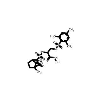 Cc1cc(C)c(S(=O)(=O)NCC(NS(=O)(=O)C2C(=O)C3(C)CCC2C3(C)C)C(=O)NO)c(C)c1